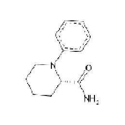 NC(=O)[C@@H]1CCCCN1c1ccccc1